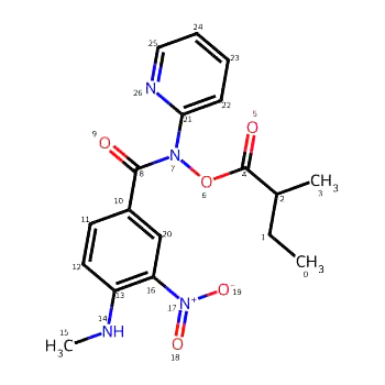 CCC(C)C(=O)ON(C(=O)c1ccc(NC)c([N+](=O)[O-])c1)c1ccccn1